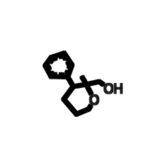 CC1(CO)OCCCC1c1ccccc1